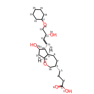 O=C(O)CCC[C@H]1CC[C@@H]2[C@@H](/C=C/[C@@H](O)COC3CCCCC3)[C@H](O)C[C@@H]2OC1